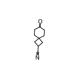 N#CC1CC2(CCC(=O)CC2)C1